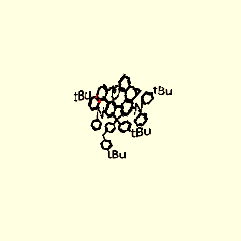 CC(C)(C)c1ccc(Cc2ccc(C3(c4ccc(C(C)(C)C)cc4)c4cc(N(c5ccccc5)c5ccc(C(C)(C)C)cc5)c5c(c4-c4c3cc(N(c3ccccc3)c3ccc(C(C)(C)C)cc3)c3c4-c4ccccc4C4CC34)OCc3ccccc3-5)cc2)cc1